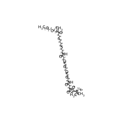 CCOCCOCCN(CC)C(=O)CCSCCCCSCCCNC(=O)CCOCCOCCOCCOCCNC(=O)CCN1C(=O)CC(C2[C@H](CI)C2(C)C)C1=O